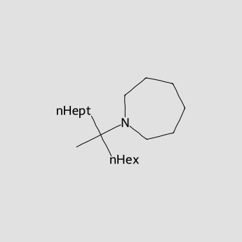 CCCCCCCC(C)(CCCCCC)N1CCCCCC1